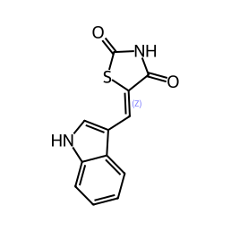 O=C1NC(=O)/C(=C/c2c[nH]c3ccccc23)S1